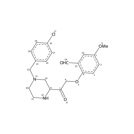 COc1ccc(OCC(=O)C2CN(Cc3ccc(Cl)cc3)CCN2)c(C=O)c1